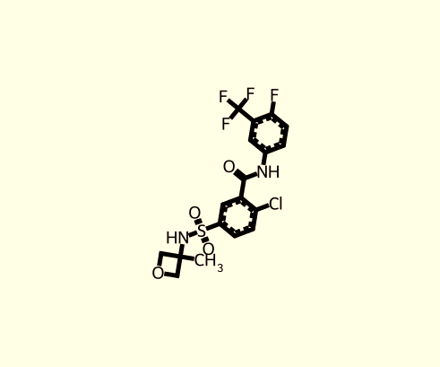 CC1(NS(=O)(=O)c2ccc(Cl)c(C(=O)Nc3ccc(F)c(C(F)(F)F)c3)c2)COC1